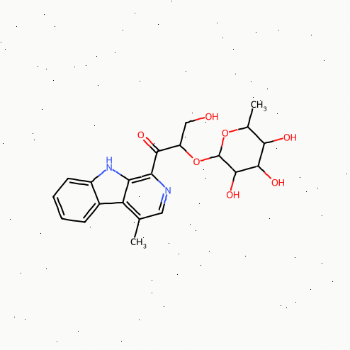 Cc1cnc(C(=O)C(CO)OC2OC(C)C(O)C(O)C2O)c2[nH]c3ccccc3c12